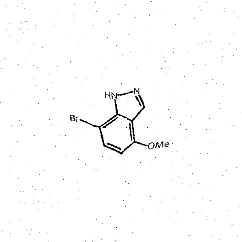 COc1ccc(Br)c2[nH]ncc12